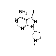 CN1CCC(n2nc(I)c3c(N)ncnc32)C1